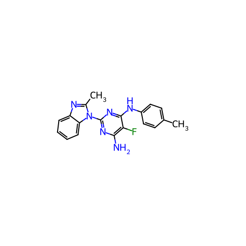 Cc1ccc(Nc2nc(-n3c(C)nc4ccccc43)nc(N)c2F)cc1